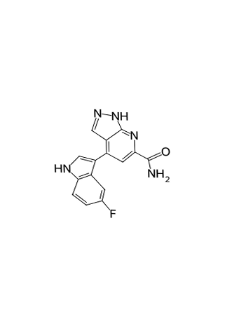 NC(=O)c1cc(-c2c[nH]c3ccc(F)cc23)c2cn[nH]c2n1